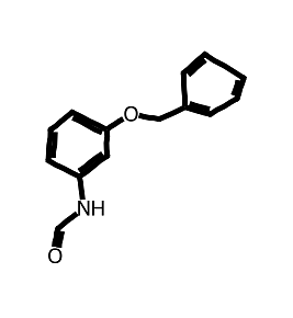 O=CNc1cccc(OCc2ccccc2)c1